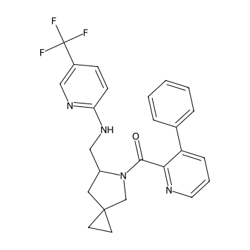 O=C(c1ncccc1-c1ccccc1)N1CC2(CC2)CC1CNc1ccc(C(F)(F)F)cn1